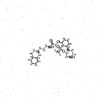 CN(C)S(=O)(=O)c1c(OCC(=O)NCCCN2CCc3ccccc3C2)cccc1N1CCNCC1